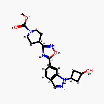 COC(=O)N1CCC(c2noc(-c3ccc4cnn(C5CC(O)C5)c4c3)n2)CC1